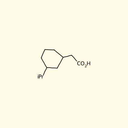 CC(C)C1CCCC(CC(=O)O)C1